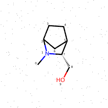 CN1C2CCC(C2)[C@@H]1CO